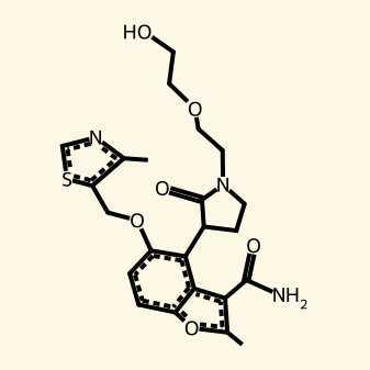 Cc1ncsc1COc1ccc2oc(C)c(C(N)=O)c2c1C1CCN(CCOCCO)C1=O